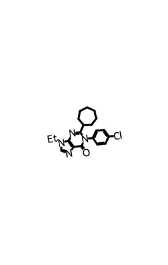 CCn1cnc2c(=O)n(-c3ccc(Cl)cc3)c(C3CCCCCC3)nc21